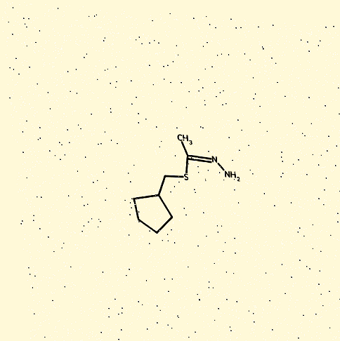 C/C(=N/N)SCC1CCCC1